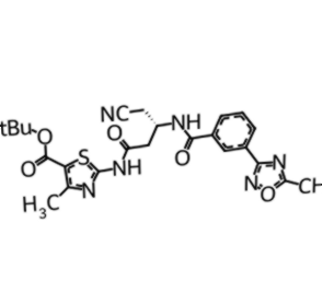 Cc1nc(-c2cccc(C(=O)N[C@@H](CC#N)CC(=O)Nc3nc(C)c(C(=O)OC(C)(C)C)s3)c2)no1